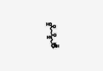 O=C(O)CCCC(=O)NCCc1cc[nH]n1